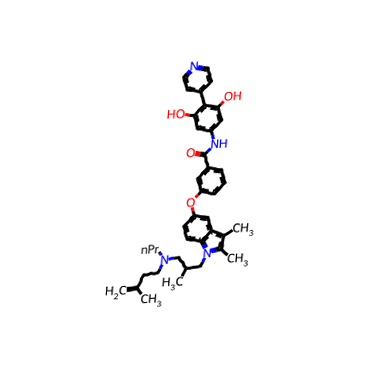 C=C(C)CCN(CCC)CC(C)Cn1c(C)c(C)c2cc(Oc3cccc(C(=O)Nc4cc(O)c(-c5ccncc5)c(O)c4)c3)ccc21